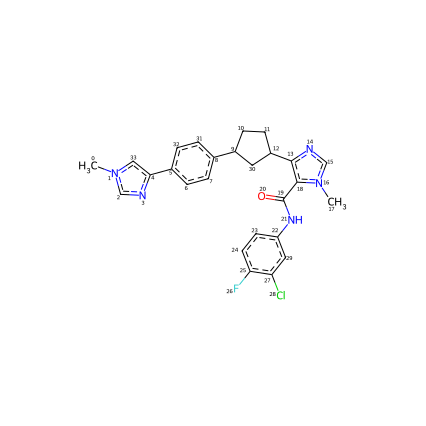 Cn1cnc(-c2ccc(C3CCC(c4ncn(C)c4C(=O)Nc4ccc(F)c(Cl)c4)C3)cc2)c1